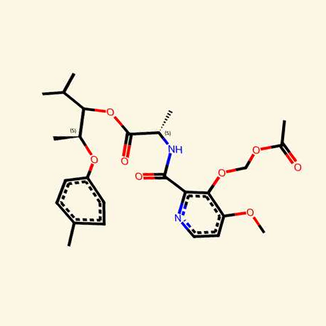 COc1ccnc(C(=O)N[C@@H](C)C(=O)OC(C(C)C)[C@H](C)Oc2ccc(C)cc2)c1OCOC(C)=O